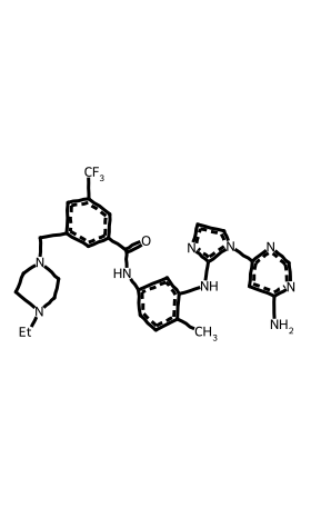 CCN1CCN(Cc2cc(C(=O)Nc3ccc(C)c(Nc4nccn4-c4cc(N)ncn4)c3)cc(C(F)(F)F)c2)CC1